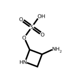 NC1CNC1OS(=O)(=O)O